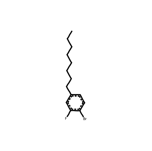 CCCCCCCCc1ccc(Br)c(F)c1